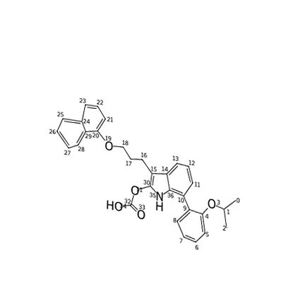 CC(C)Oc1ccccc1-c1cccc2c(CCCOc3cccc4ccccc34)c(OC(=O)O)[nH]c12